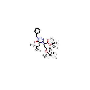 CC(C)C[C@H](N[C@H](CCO[Si](C)(C)C(C)(C)C)C(=O)OC(C)(C)C)C(=O)NCc1ccccc1